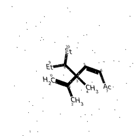 C=C(C)C(C)(/C=C\C(C)=O)C(CC)CC